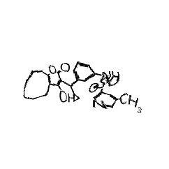 Cc1cncc(S(=O)(=O)Nc2cccc(C(c3c(O)c4c(oc3=O)CCCCCC4)C3CC3)c2)c1